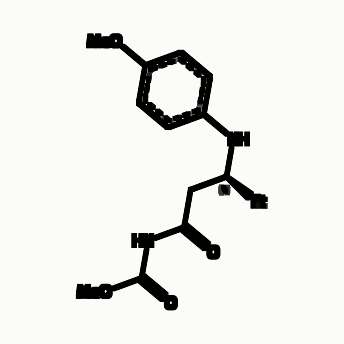 CC[C@@H](CC(=O)NC(=O)OC)Nc1ccc(OC)cc1